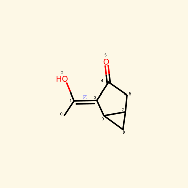 C/C(O)=C1/C(=O)CC2CC12